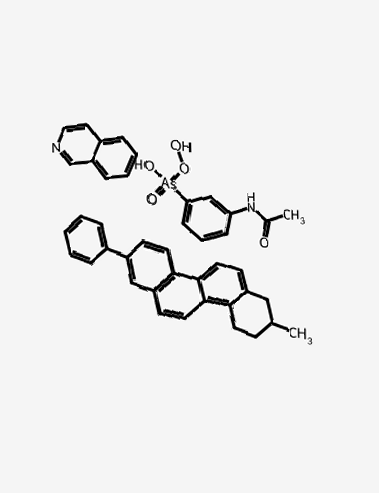 CC(=O)Nc1cccc([As](=O)(O)OO)c1.CC1CCc2c(ccc3c2ccc2cc(-c4ccccc4)ccc23)C1.c1ccc2cnccc2c1